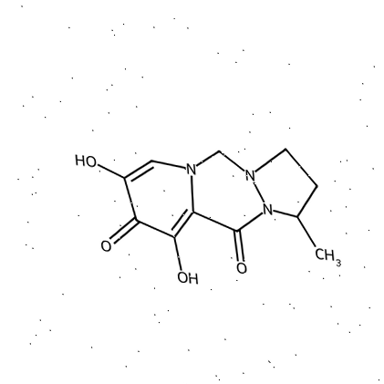 CC1CCN2Cn3cc(O)c(=O)c(O)c3C(=O)N12